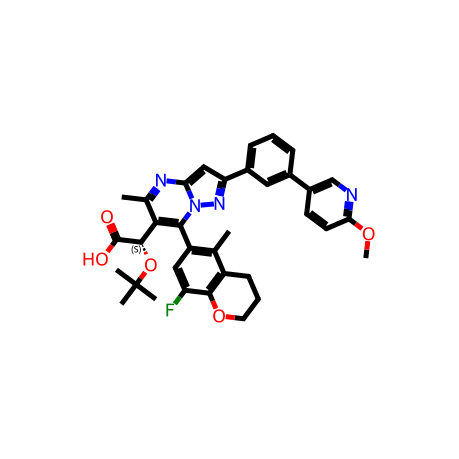 COc1ccc(-c2cccc(-c3cc4nc(C)c([C@H](OC(C)(C)C)C(=O)O)c(-c5cc(F)c6c(c5C)CCCO6)n4n3)c2)cn1